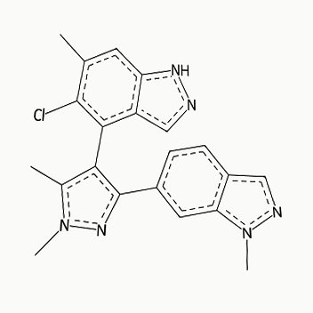 Cc1cc2[nH]ncc2c(-c2c(-c3ccc4cnn(C)c4c3)nn(C)c2C)c1Cl